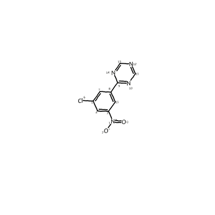 O=[N+]([O-])c1cc(Cl)cc(-c2ncncn2)c1